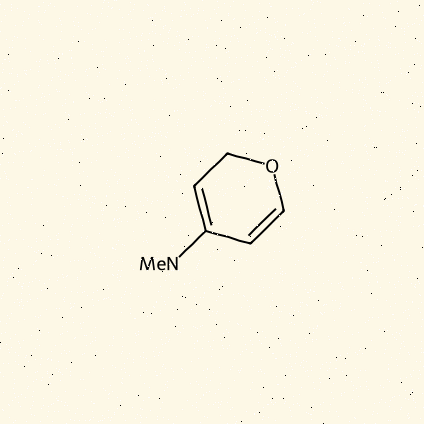 [CH2]NC1=CCOC=C1